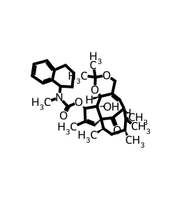 CC1=C[C@]23C(=O)[C@@H](C=C4COC(C)(C)O[C@H]4[C@]2(O)[C@H]1OC(=O)N(C)C1CCCc2ccccc21)C(C)(C)[C@@H](C)C[C@H]3C